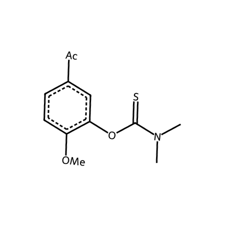 COc1ccc(C(C)=O)cc1OC(=S)N(C)C